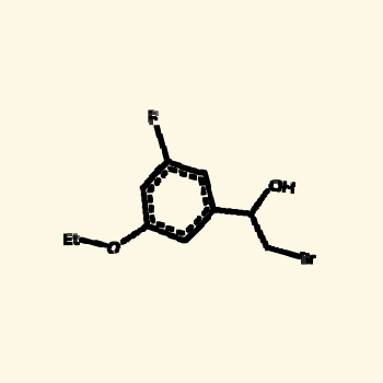 CCOc1cc(F)cc(C(O)CBr)c1